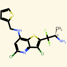 C[C@H](N)C(F)(F)c1sc2c(NCc3cccs3)cc(Cl)nc2c1Cl